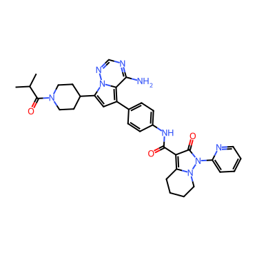 CC(C)C(=O)N1CCC(c2cc(-c3ccc(NC(=O)c4c5n(n(-c6ccccn6)c4=O)CCCC5)cc3)c3c(N)ncnn23)CC1